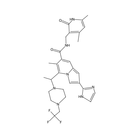 Cc1cc(C)c(CNC(=O)c2cc3cc(-c4ncc[nH]4)cn3c(C(C)N3CCN(CC(F)(F)F)CC3)c2C)c(=O)[nH]1